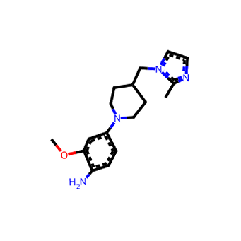 COc1cc(N2CCC(Cn3ccnc3C)CC2)ccc1N